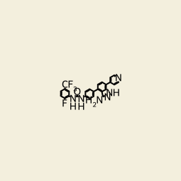 Nc1n[nH]c2c(-c3ccncc3)ccc(-c3ccc(NC(=O)Nc4cc(C(F)(F)F)ccc4F)cc3)c12